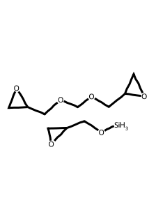 C(OCC1CO1)OCC1CO1.[SiH3]OCC1CO1